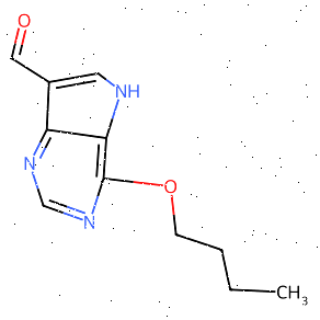 CCCCOc1ncnc2c(C=O)c[nH]c12